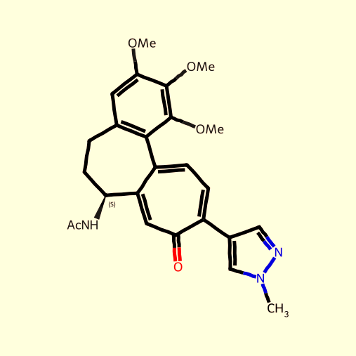 COc1cc2c(c(OC)c1OC)-c1ccc(-c3cnn(C)c3)c(=O)cc1[C@@H](NC(C)=O)CC2